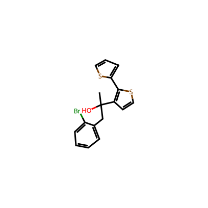 CC(O)(Cc1ccccc1Br)c1ccsc1-c1cccs1